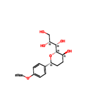 CCCCCCOc1ccc([C@H]2CC[C@H](O)[C@@H]([C@@H](O)[C@H](O)CO)O2)cc1